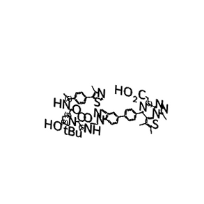 Cc1ncsc1-c1ccc([C@H](C)NC(=O)[C@@H]2C[C@@H](O)CN2C(=O)[C@@H](NC(=O)Cn2ncc3cc(-c4ccc(C5=N[C@@H](CC(=O)O)c6nnc(C)n6-c6sc(C)c(C)c65)cc4)ccc32)C(C)(C)C)cc1